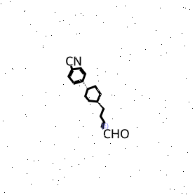 N#Cc1ccc([C@H]2CC[C@H](CC/C=C/C=O)CC2)cc1